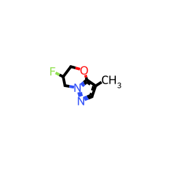 Cc1cnn2c1OCC(F)C2